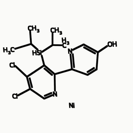 CC(C)[SiH](c1c(-c2ccc(O)cn2)ncc(Cl)c1Cl)C(C)C.[Ni]